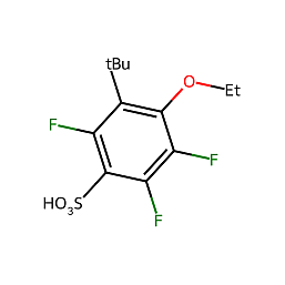 CCOc1c(F)c(F)c(S(=O)(=O)O)c(F)c1C(C)(C)C